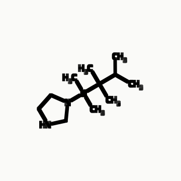 CC(C)C(C)(C)[Si](C)(C)N1CCNC1